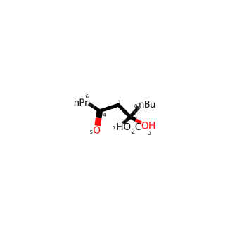 CCCCC(O)(CC(=O)CCC)C(=O)O